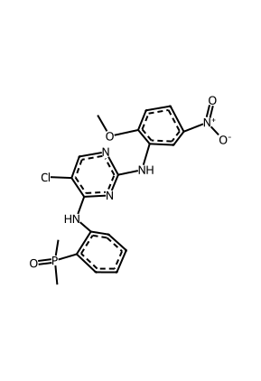 COc1ccc([N+](=O)[O-])cc1Nc1ncc(Cl)c(Nc2ccccc2P(C)(C)=O)n1